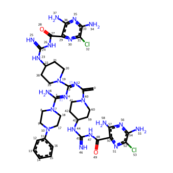 C=C(/N=C(\N=C(/N)N1CCN(c2ccccc2)CC1)N1CCC(NC(=N)NC(=O)c2nc(Cl)c(N)nc2N)CC1)N1CCC(NC(=N)NC(=O)c2nc(Cl)c(N)nc2N)CC1